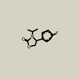 CC(C)N1C(=O)OCC1c1ccc(F)cc1